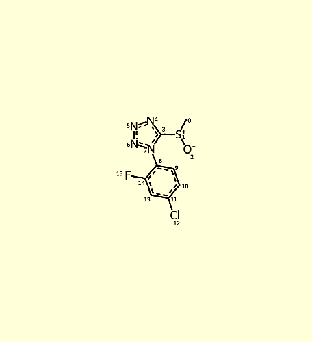 C[S+]([O-])c1nnnn1-c1ccc(Cl)cc1F